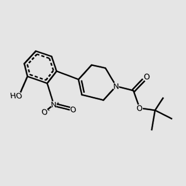 CC(C)(C)OC(=O)N1CC=C(c2cccc(O)c2[N+](=O)[O-])CC1